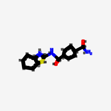 NC(=O)c1ccc(C(=O)Nc2nc3ccccc3s2)cc1